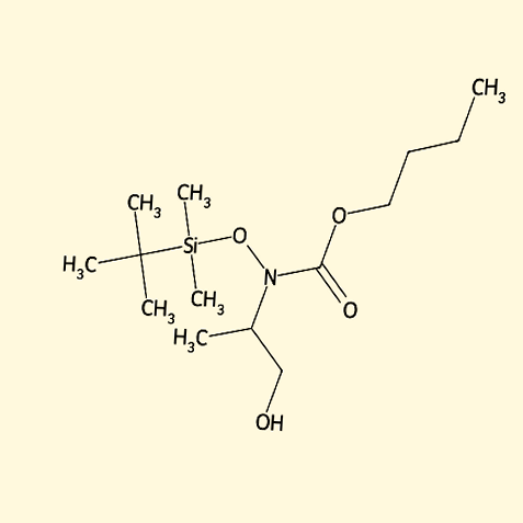 CCCCOC(=O)N(O[Si](C)(C)C(C)(C)C)C(C)CO